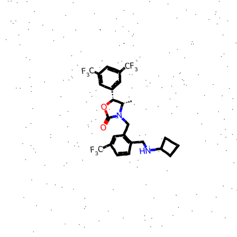 C[C@H]1[C@@H](c2cc(C(F)(F)F)cc(C(F)(F)F)c2)OC(=O)N1Cc1cc(C(F)(F)F)ccc1CNC1CCC1